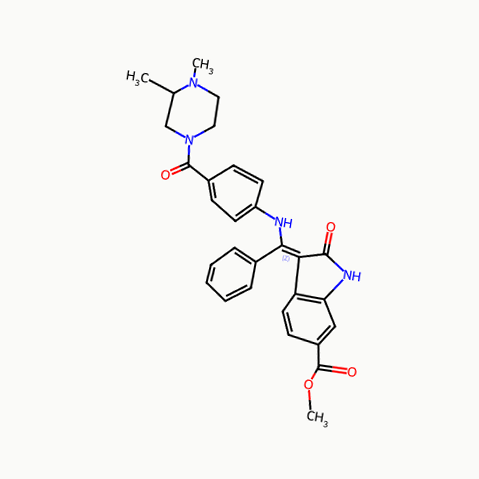 COC(=O)c1ccc2c(c1)NC(=O)/C2=C(\Nc1ccc(C(=O)N2CCN(C)C(C)C2)cc1)c1ccccc1